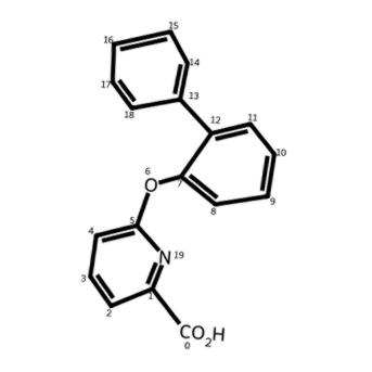 O=C(O)c1cccc(Oc2ccccc2-c2ccccc2)n1